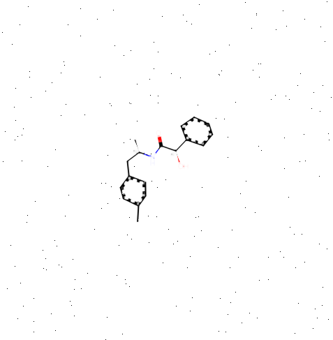 Cc1ccc(C[C@@H](C)NC(=O)[C@H](O)c2ccccc2)cc1